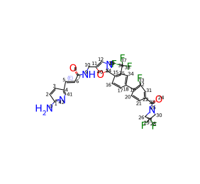 Nc1ccc(/C=C/C(=O)NCc2cnc(-c3ccc(-c4ccc(C(=O)N5CC(F)(F)C5)cc4F)cc3C(F)(F)F)o2)cn1